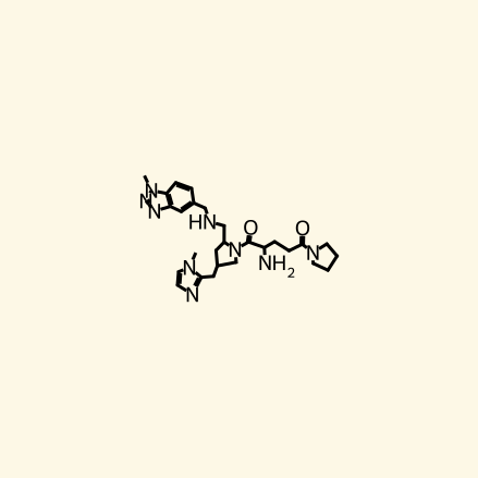 Cn1ccnc1CC1CC(CNCc2ccc3c(c2)nnn3C)N(C(=O)C(N)CCC(=O)N2CCCC2)C1